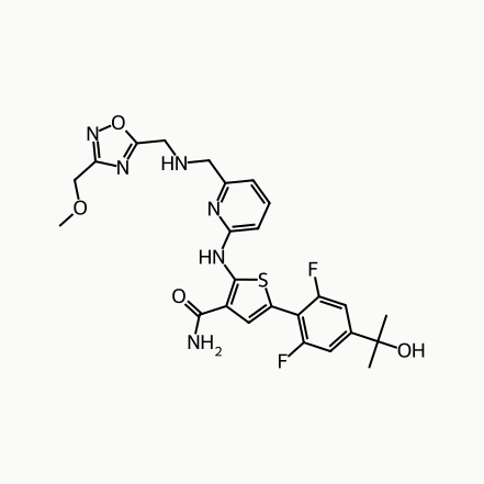 COCc1noc(CNCc2cccc(Nc3sc(-c4c(F)cc(C(C)(C)O)cc4F)cc3C(N)=O)n2)n1